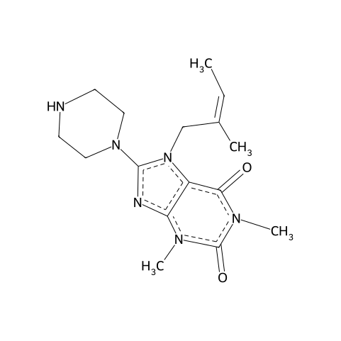 C/C=C(/C)Cn1c(N2CCNCC2)nc2c1c(=O)n(C)c(=O)n2C